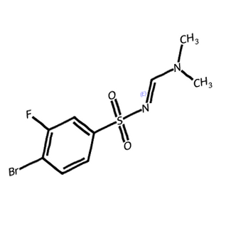 CN(C)/C=N/S(=O)(=O)c1ccc(Br)c(F)c1